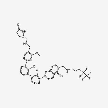 COc1nc(-c2cccc(-c3cccc(-c4ccn5c(=O)c(CNCCCC(F)(F)C(F)(F)F)cnc5c4)c3Cl)c2Cl)ccc1CNC[C@@H]1CCC(=O)N1